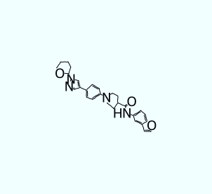 O=C(Nc1ccc2occc2c1)C1CCN(c2ccc(-c3cnn(C4CCCCO4)c3)cc2)CC1